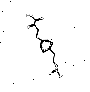 O=C(O)C(=O)CCc1ccc(CCO[N+](=O)[O-])cc1